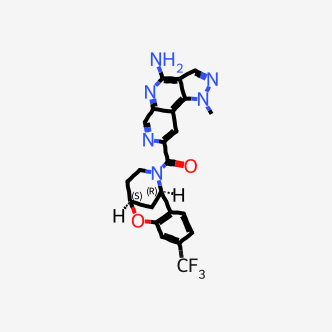 Cn1ncc2c(N)nc3cnc(C(=O)N4CC[C@H]5C[C@@H]4c4ccc(C(F)(F)F)cc4O5)cc3c21